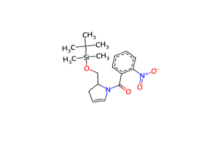 CC(C)(C)[Si](C)(C)OCC1CC=CN1C(=O)c1ccccc1[N+](=O)[O-]